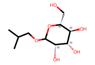 CC(C)COC1O[C@H](CO)[C@@H](O)[C@H](O)[C@@H]1O